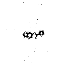 O=C(Oc1ccc2ccoc2c1)c1ccco1